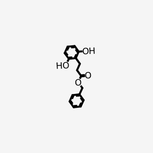 O=C(CCc1c(O)cccc1O)OCc1ccccc1